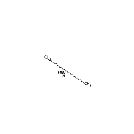 CCCCCCCCCCCCCCCC(CCCCCCCCCCCCCCC)NO